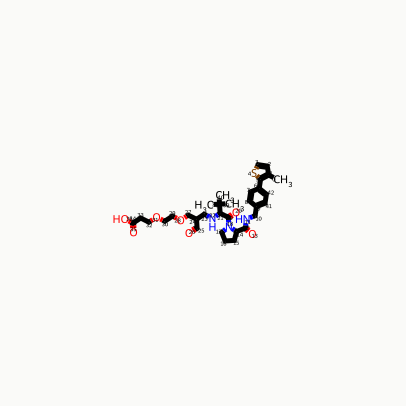 Cc1ccsc1-c1ccc(CNC(=O)C2CCCN2C(=O)C(NCC(C=O)COCCOCCC(=O)O)C(C)(C)C)cc1